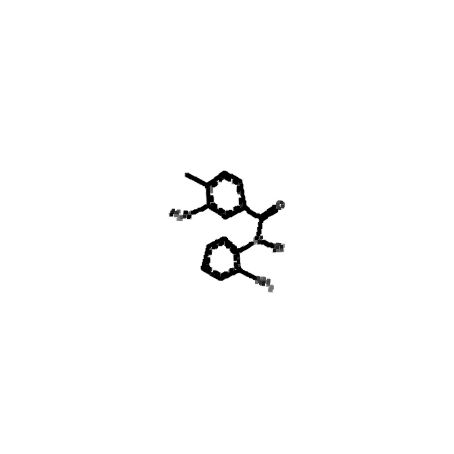 CCN(C(=O)c1ccc(C)c(N)c1)c1ccccc1N